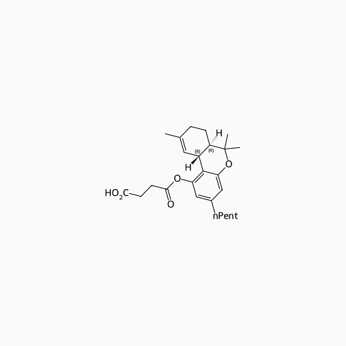 CCCCCc1cc(OC(=O)CCC(=O)O)c2c(c1)OC(C)(C)[C@@H]1CCC(C)=C[C@@H]21